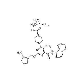 CN1CCC[C@H]1COc1nc(C(=O)Nc2cccc3ccccc23)c(N)c(N2CCN(C(=O)OC(C)(C)C)CC2)n1